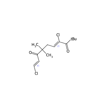 CC(C)(C)C(=O)/C(Cl)=C/CC(C)(C)C(=O)/C=C/Cl